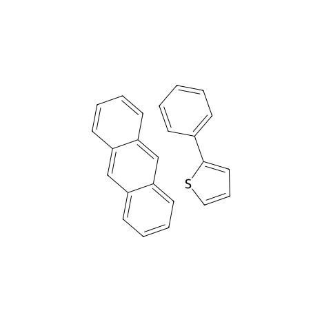 c1ccc(-c2cccs2)cc1.c1ccc2cc3ccccc3cc2c1